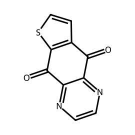 O=C1c2ccsc2C(=O)c2nccnc21